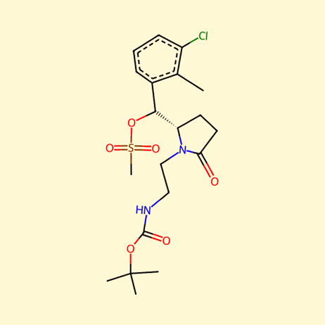 Cc1c(Cl)cccc1C(OS(C)(=O)=O)[C@@H]1CCC(=O)N1CCNC(=O)OC(C)(C)C